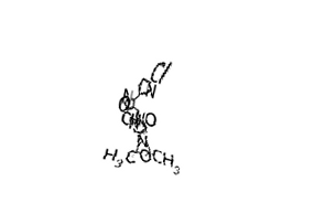 Cc1onc(-c2ccc(Cl)nc2)c1Cn1ncc(N2C[C@@H](C)O[C@@H](C)C2)cc1=O